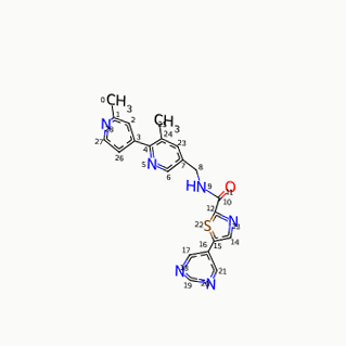 Cc1cc(-c2ncc(CNC(=O)c3ncc(-c4cncnc4)s3)cc2C)ccn1